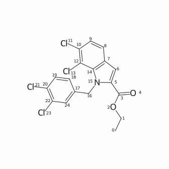 CCOC(=O)c1cc2ccc(Cl)c(Cl)c2n1Cc1ccc(Cl)c(Cl)c1